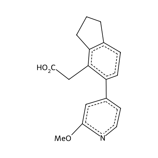 COc1cc(-c2ccc3c(c2CC(=O)O)CCC3)ccn1